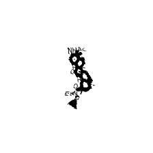 CCN(OC1CC1)C(=O)[C@@]1(C)CC[C@]2(C)CC[C@]3(C)C(=CC(=O)[C@@H]4[C@@]5(C)CC[C@H](NC(C)=O)C(C)(C)C5CC[C@]43C)[C@@H]2C1